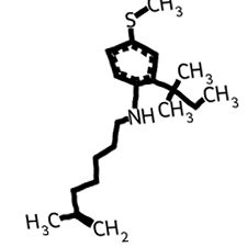 C=C(C)CCCCCNc1ccc(SC)cc1C(C)(C)CC